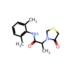 Cc1cccc(C)c1NC(=O)C(C)N1CSCC1=O